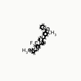 Cc1cc(Cc2nccn3c(-c4cn(Cc5ccn(C)n5)nc4C(F)(F)F)cnc23)ccc1C(=O)N1CCCCC1